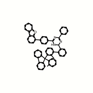 Cc1ccccc1C1(c2cccc(-c3ccccc3C3N=C(c4ccccc4)N=C(c4ccc(-c5cccc6c5oc5ccccc56)cc4)N3)c2C)c2ccccc2-c2ccccc21